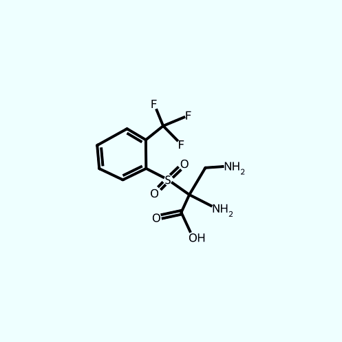 NCC(N)(C(=O)O)S(=O)(=O)c1ccccc1C(F)(F)F